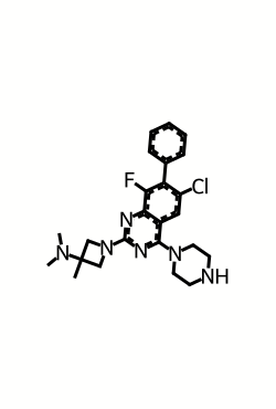 CN(C)C1(C)CN(c2nc(N3CCNCC3)c3cc(Cl)c(-c4ccccc4)c(F)c3n2)C1